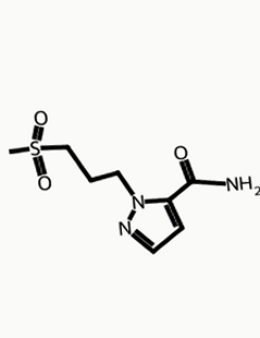 CS(=O)(=O)CCCn1nccc1C(N)=O